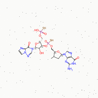 CC1C[C@H](n2cnc3c(=O)[nH]c(N)nc32)O[C@@H]1COP(=O)(S)O[C@H]1C(O)[C@H](n2cnn3ccnc3c2=O)O[C@@H]1COP(=O)(O)S